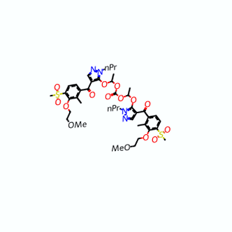 CCCn1ncc(C(=O)c2ccc(S(C)(=O)=O)c(OCCOC)c2C)c1OC(C)OC(=O)OC(C)Oc1c(C(=O)c2ccc(S(C)(=O)=O)c(OCCOC)c2C)cnn1CCC